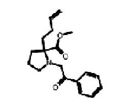 C=CCCC1(C(=O)OC)CCCN1CC(=O)c1ccccc1